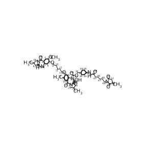 COc1cc2c(cc1OCCCCCOc1cc3c(cc1C)C(=O)N1CC(C)C[C@H]1[C@H](O)N3C(=O)OCc1ccc(NCC(=O)CCCCCN3C(=O)CC(C)C3=O)cc1)N=C[C@@H]1CC(C)CN1C2=O